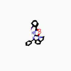 O=C(N[C@@H]1N=C(c2ccccc2)c2cccc3c2N(CC3)C1=O)c1ccccc1I